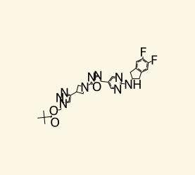 CC(C)(C)C(=O)OCn1cc(C2CN(c3nnc(-c4cnc(NC5Cc6cc(F)c(F)cc6C5)nc4)o3)C2)nn1